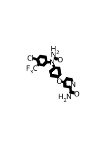 NC(=O)c1cc(Oc2ccc(N(C(N)=O)c3ccc(Cl)c(C(F)(F)F)c3)cc2)ccn1